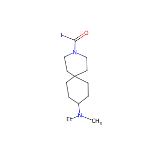 CCN(C)C1CCC2(CC1)CCN(C(=O)I)CC2